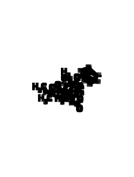 CCC(C)(C)OC(=O)C(C)(CC1(C)CC(=O)OC1=O)CC(C)(CC)C(=O)OC1C2CC3CC(C2)CC1C3